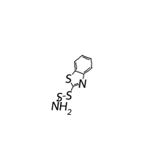 NSSc1nc2ccccc2s1